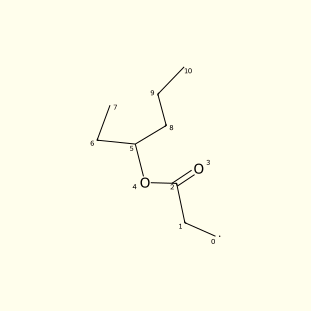 [CH2]CC(=O)OC(CC)CCC